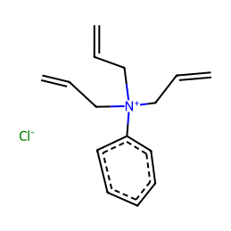 C=CC[N+](CC=C)(CC=C)c1ccccc1.[Cl-]